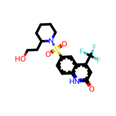 O=c1cc(C(F)(F)F)c2cc(S(=O)(=O)N3CCCCC3CCO)ccc2[nH]1